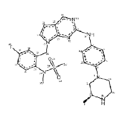 C[C@H]1CN(c2ccc(Nc3ncc4ccn(Cc5cc(F)ccc5N(C)S(C)(=O)=O)c4n3)cc2)CCN1